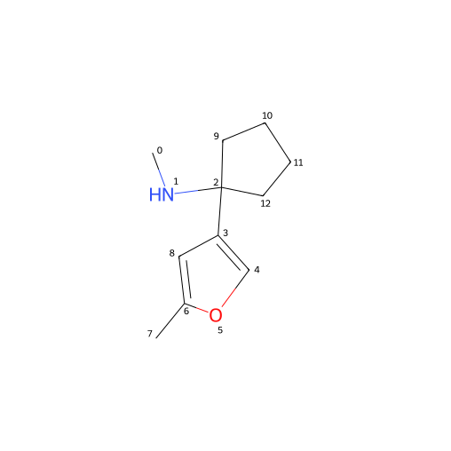 CNC1(c2coc(C)c2)CCCC1